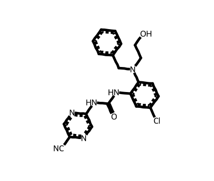 N#Cc1cnc(NC(=O)Nc2cc(Cl)ccc2N(CCO)Cc2ccccc2)cn1